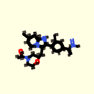 C=C(NC)c1ccc(-c2nc3cc(C)ccn3c2CC2CN(C(C)=O)CCO2)c(C)c1